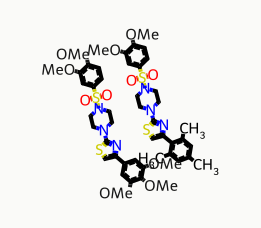 COc1ccc(S(=O)(=O)N2CCN(c3nc(-c4c(C)cc(C)cc4C)cs3)CC2)cc1OC.COc1ccc(S(=O)(=O)N2CCN(c3nc(-c4cc(OC)c(OC)c(OC)c4)cs3)CC2)cc1OC